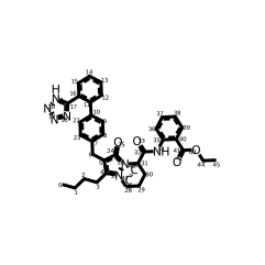 CCCCc1c(Cc2ccc(-c3ccccc3-c3nnn[nH]3)cc2)c(=O)n2n1C1CCC2(C(=O)Nc2ccccc2C(=O)OCC)CC1